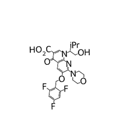 CC(C)C(CO)n1cc(C(=O)O)c(=O)c2cc(OCc3c(F)cc(F)cc3F)c(N3CCOCC3)nc21